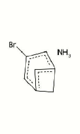 Brc1cc2cc(c1)C2.N